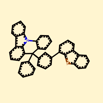 c1ccc(C2(c3cccc(-c4cccc5c4sc4ccccc45)c3)c3ccccc3-n3c4ccccc4c4cccc2c43)cc1